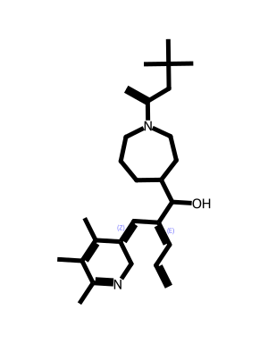 C=C/C=C(\C=C1/CN=C(C)C(C)=C1C)C(O)C1CCCN(C(=C)CC(C)(C)C)CC1